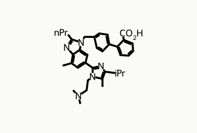 CCCc1nc2c(C)cc(-c3nc(C(C)C)c(C)n3CCN(C)C)cc2n1Cc1ccc(-c2ccccc2C(=O)O)cc1